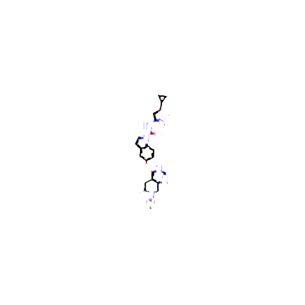 C[C@H]1Cc2c(ncnc2Oc2ccc3c(ccn3C(=O)Nc3cc(C4CC4)on3)c2)CN1S(C)(=O)=O